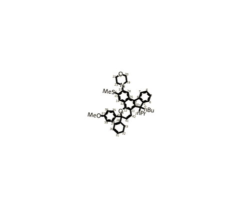 CCCCC1(CCC)c2ccccc2-c2c1c1c(c3cc(SC)c(N4CCOCC4)cc23)OC(C2=CC=CCC2)(c2ccc(OC)cc2)C=C1